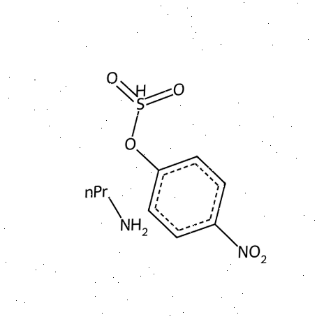 CCCN.O=[N+]([O-])c1ccc(O[SH](=O)=O)cc1